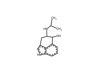 CC(C)NC1Cc2c[nH]c3cccc(c23)C1O